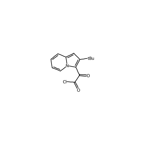 CC(C)(C)c1cc2ccccn2c1C(=O)C(=O)Cl